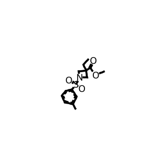 CCC1(C(=O)OC)CN(S(=O)(=O)c2cccc(C)c2)C1